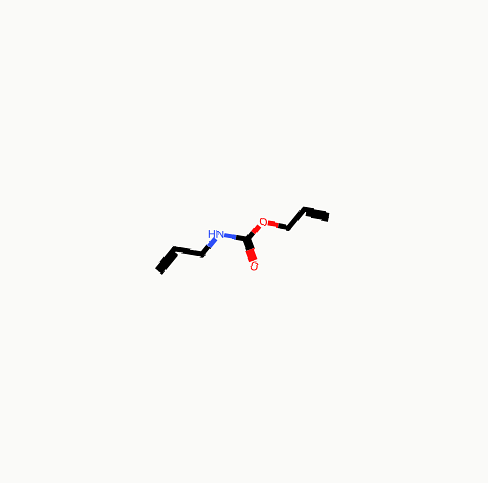 C=C[CH]NC(=O)OCC=C